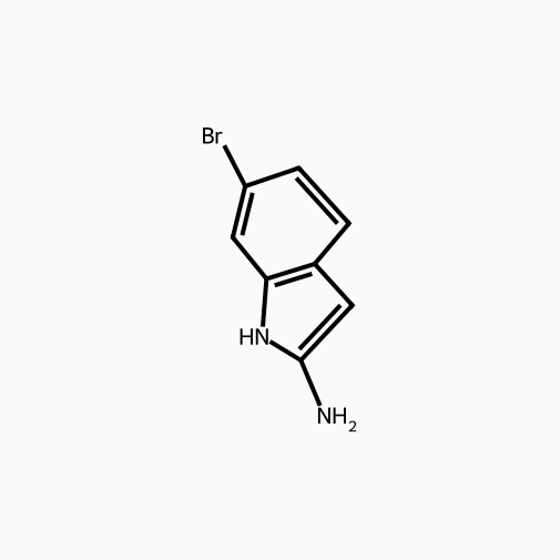 Nc1cc2ccc(Br)cc2[nH]1